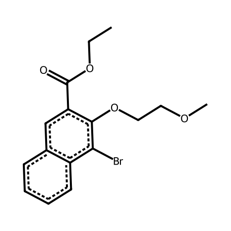 CCOC(=O)c1cc2ccccc2c(Br)c1OCCOC